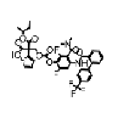 CCC(C)OC(=O)C(COC(=O)Oc1c(F)cc(NC(=O)c2ccccc2-c2ccc(C(F)(F)F)cc2)c(C(=O)N(C)C)c1F)(C(=O)O)c1cccs1